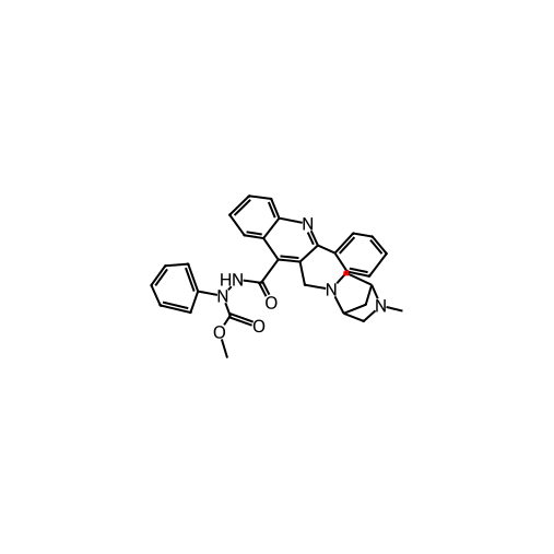 COC(=O)N(NC(=O)c1c(CN2CC3CC2CN3C)c(-c2ccccc2)nc2ccccc12)c1ccccc1